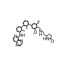 COc1cc(-c2cccc(-c3cccc(Nc4nccc5nccnc45)c3C)c2C)cc(F)c1CNCCC1CCC(=O)N1